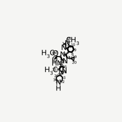 COC(=O)c1nc(-c2cccc3c2ncn3C)c(C2CC2)nc1Nc1cnn(C2CCNCC2)c1C